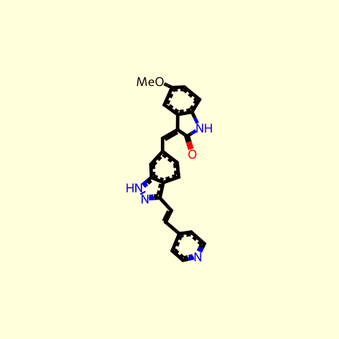 COc1ccc2c(c1)C(=Cc1ccc3c(C=Cc4ccncc4)n[nH]c3c1)C(=O)N2